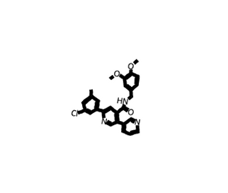 COc1ccc(CNC(=O)c2cc(-c3cc(C)cc(Cl)c3)ncc2-c2cccnc2)cc1OC